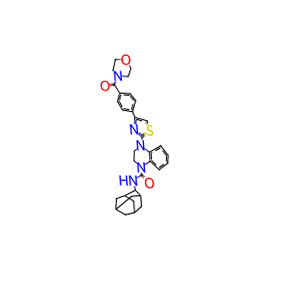 O=C(c1ccc(-c2csc(N3CCN(C(=O)NC4C5CC6CC(C5)CC4C6)c4ccccc43)n2)cc1)N1CCOCC1